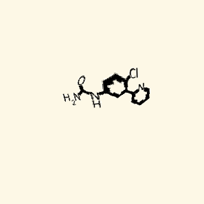 NC(=O)Nc1ccc(Cl)c(-c2ccccn2)c1